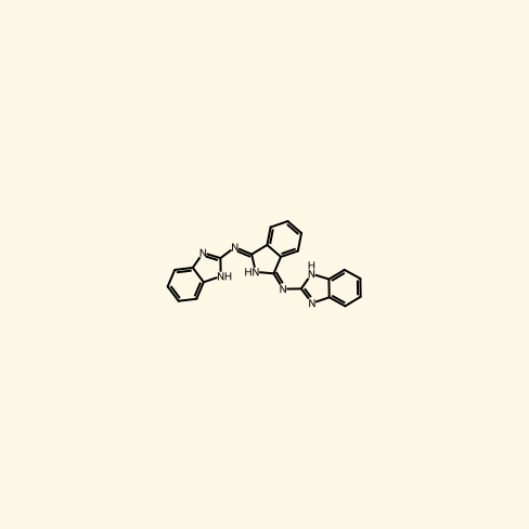 c1ccc2c(c1)/C(=N/c1nc3ccccc3[nH]1)N/C2=N/c1nc2ccccc2[nH]1